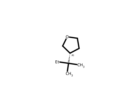 CCC(C)(C)[C@H]1CCOC1